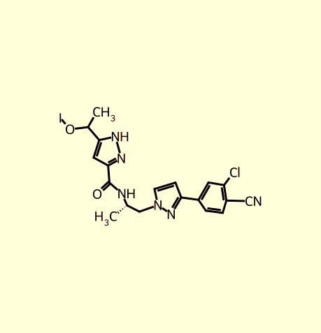 CC(OI)c1cc(C(=O)N[C@@H](C)Cn2ccc(-c3ccc(C#N)c(Cl)c3)n2)n[nH]1